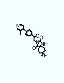 Cc1cnccc1-c1ccc(C(=O)CN2C(=O)NC3(CCC(F)(F)CC3)C2=O)cc1